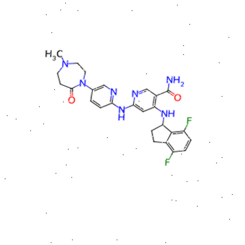 CN1CCC(=O)N(c2ccc(Nc3cc(NC4CCc5c(F)ccc(F)c54)c(C(N)=O)cn3)nc2)CC1